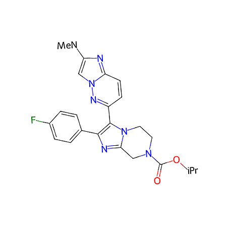 CNc1cn2nc(-c3c(-c4ccc(F)cc4)nc4n3CCN(C(=O)OC(C)C)C4)ccc2n1